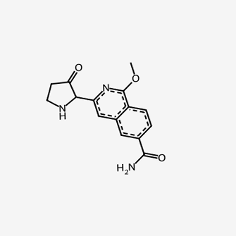 COc1nc(C2NCCC2=O)cc2cc(C(N)=O)ccc12